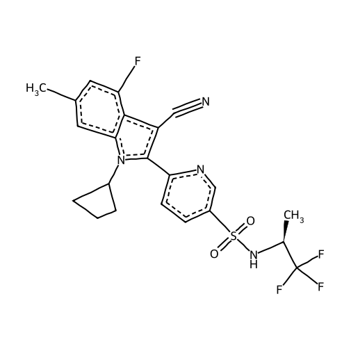 Cc1cc(F)c2c(C#N)c(-c3ccc(S(=O)(=O)N[C@@H](C)C(F)(F)F)cn3)n(C3CCC3)c2c1